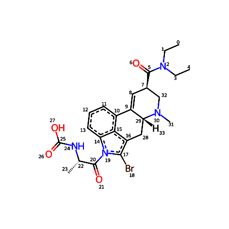 CCN(CC)C(=O)[C@@H]1C=C2c3cccc4c3c(c(Br)n4C(=O)[C@H](C)NC(=O)O)C[C@H]2N(C)C1